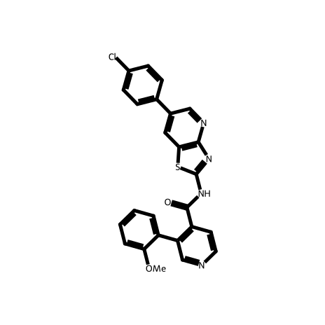 COc1ccccc1-c1cnccc1C(=O)Nc1nc2ncc(-c3ccc(Cl)cc3)cc2s1